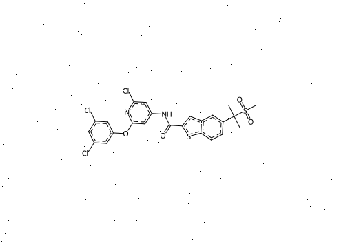 CC(C)(c1ccc2sc(C(=O)Nc3cc(Cl)nc(Oc4cc(Cl)cc(Cl)c4)c3)cc2c1)S(C)(=O)=O